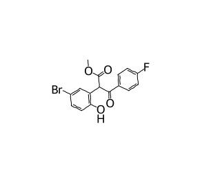 COC(=O)C(C(=O)c1ccc(F)cc1)c1cc(Br)ccc1O